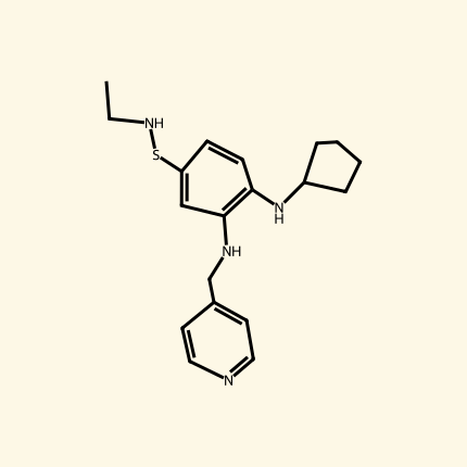 CCNSc1ccc(NC2CCCC2)c(NCc2ccncc2)c1